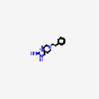 N=C1NCC2(CCN(CCc3ccccc3)CC2)N1